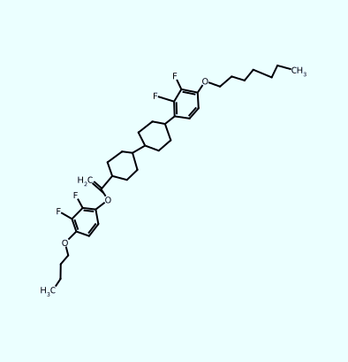 C=C(Oc1ccc(OCCCC)c(F)c1F)C1CCC(C2CCC(c3ccc(OCCCCCCC)c(F)c3F)CC2)CC1